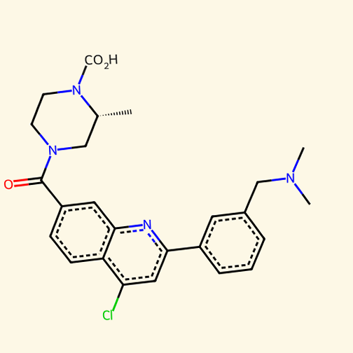 C[C@@H]1CN(C(=O)c2ccc3c(Cl)cc(-c4cccc(CN(C)C)c4)nc3c2)CCN1C(=O)O